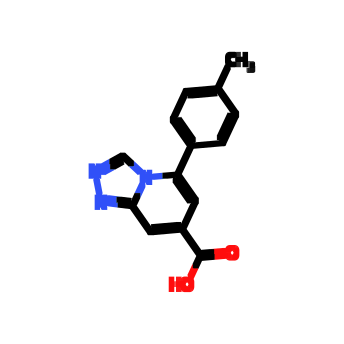 Cc1ccc(-c2cc(C(=O)O)cc3nncn23)cc1